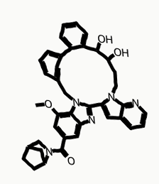 COc1cc(C(=O)N2CC3CCC2C3)cc2nc3n(c12)Cc1cccc(c1)-c1ccccc1C(O)C(O)CCn1c-3cc2cccnc21